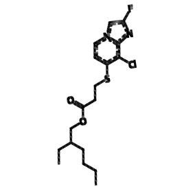 CCCCC(CC)COC(=O)CCSc1ccn2cc(F)nc2c1Cl